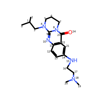 CC(C)CN1CCCn2c1nc1ccc(NCCN(C)C)cc1c2=O